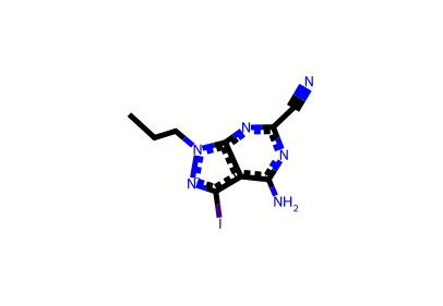 CCCn1nc(I)c2c(N)nc(C#N)nc21